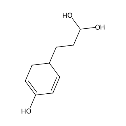 OC1=CCC(CCC(O)O)C=C1